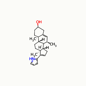 C[C@@H]1C=C2C[C@H](O)CC[C@]2(C)[C@H]2CC[C@]3(C)C(c4ccc[nH]4)=CC[C@H]3[C@H]12